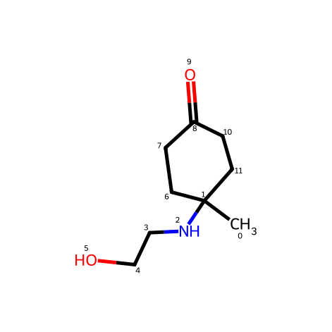 CC1(NCCO)CCC(=O)CC1